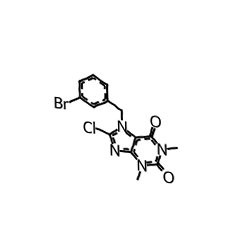 Cn1c(=O)c2c(nc(Cl)n2Cc2cccc(Br)c2)n(C)c1=O